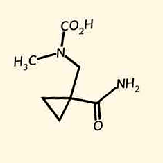 CN(CC1(C(N)=O)CC1)C(=O)O